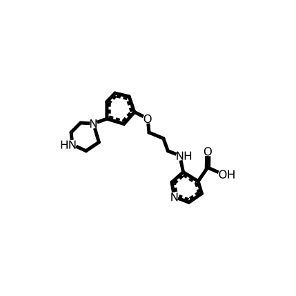 O=C(O)c1ccncc1NCCCOc1cccc(N2CCNCC2)c1